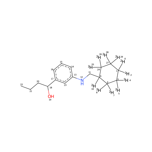 [2H]C1([2H])C([2H])([2H])C([2H])([2H])C([2H])(CNc2cccc(C(O)CCC)c2)C([2H])([2H])C1([2H])[2H]